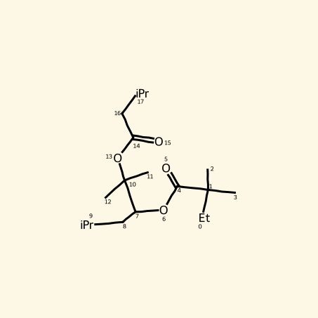 CCC(C)(C)C(=O)OC(CC(C)C)C(C)(C)OC(=O)CC(C)C